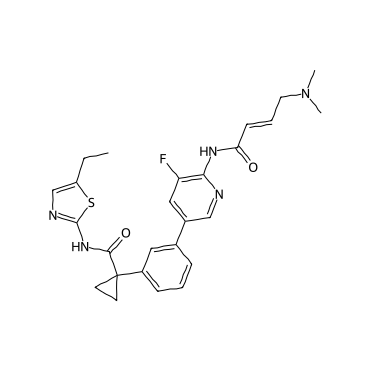 CCc1cnc(NC(=O)C2(c3cccc(-c4cnc(NC(=O)C=CCN(C)C)c(F)c4)c3)CC2)s1